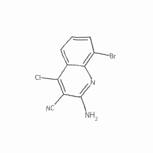 N#Cc1c(N)nc2c(Br)cccc2c1Cl